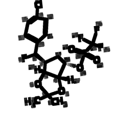 CC1(C)O[C@@H]2[C@H](O1)[C@@H](C(F)c1ccc(Cl)cc1)C[C@@H]2OS(=O)(=O)C(F)(F)F